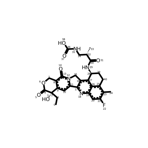 CC[C@@]1(O)C(=O)OCc2c1cc1n(c2=O)Cc2c-1nc1cc(F)c(C)c3c1c2[C@@H](NC(=O)[C@@H](C)CNC(=O)O)CC3